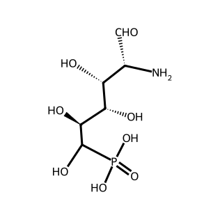 N[C@@H](C=O)[C@@H](O)[C@H](O)[C@H](O)C(O)P(=O)(O)O